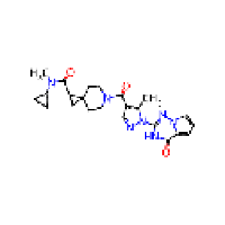 Cc1c(C(=O)N2CCC3(CC2)CC3C(=O)N(C)C2CC2)cnn1-c1nn2cccc2c(=O)[nH]1